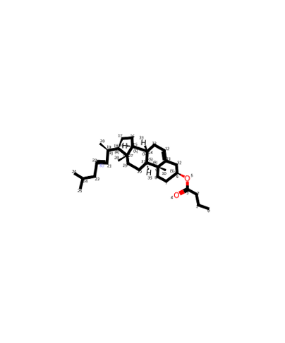 CCCC(=O)O[C@H]1CC[C@@]2(C)C(=CC[C@H]3[C@@H]4CC[C@H]([C@H](C)/C=C/CC(C)C)[C@@]4(C)CC[C@@H]32)C1